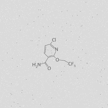 NC(=O)c1ccc(Cl)nc1OCC(F)(F)F